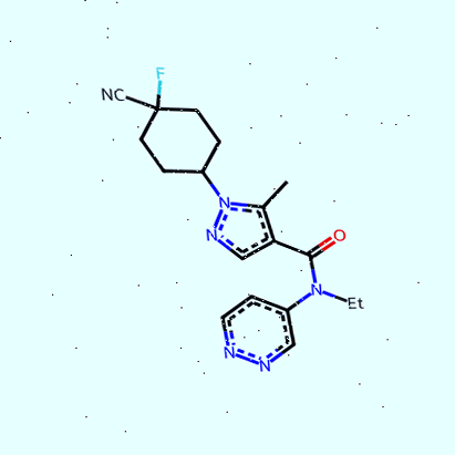 CCN(C(=O)c1cnn(C2CCC(F)(C#N)CC2)c1C)c1ccnnc1